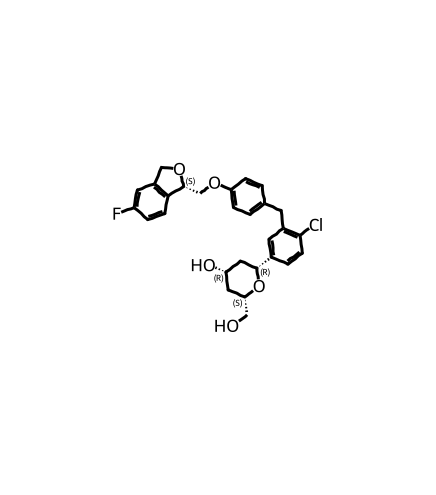 OC[C@@H]1C[C@H](O)C[C@H](c2ccc(Cl)c(Cc3ccc(OC[C@H]4OCc5cc(F)ccc54)cc3)c2)O1